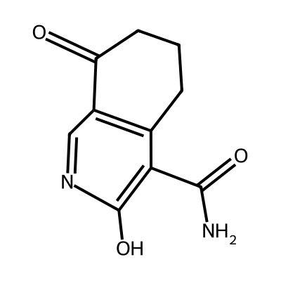 NC(=O)c1c(O)ncc2c1CCCC2=O